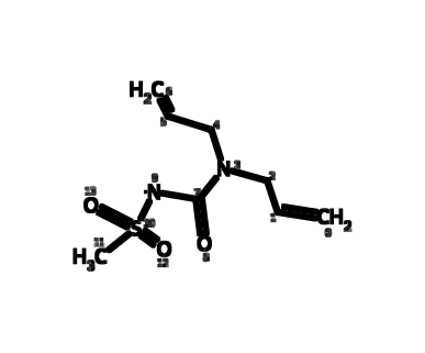 C=CCN(CC=C)C(=O)[N]S(C)(=O)=O